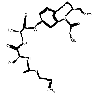 C=CCOC(=O)N[C@H](C(=O)N[C@@H](C)C(=O)Nc1ccc2c(c1)N(C(=O)OC(C)(C)C)[C@H](CO)C2)C(C)C